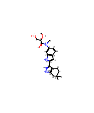 COC(CO)C(=O)N(C)c1ccc2cc(-c3n[nH]c4c3CCC(C)(C)C4)[nH]c2c1